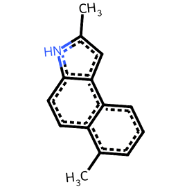 Cc1cc2c(ccc3c(C)cccc32)[nH]1